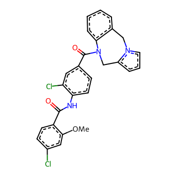 COc1cc(Cl)ccc1C(=O)Nc1ccc(C(=O)N2Cc3cccn3Cc3ccccc32)cc1Cl